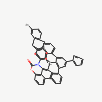 CC(C)(C)c1ccc2c(c1)C1c3ccc(C(C)(C)C)cc3C2c2cc3c(cc21)B(c1c(-c2ccccc2)cc(-c2ccccc2)cc1-c1ccccc1)c1ccc2cccc4c2c1N3C(=O)O4